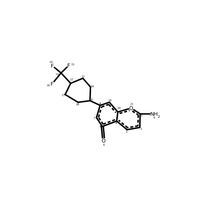 Nc1ccc2c(=O)cc(C3CCC(C(F)(F)F)CC3)cc-2o1